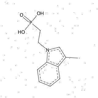 [CH2]c1cn(CCP(=O)(O)O)c2ccccc12